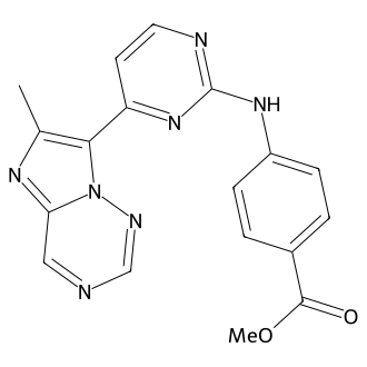 COC(=O)c1ccc(Nc2nccc(-c3c(C)nc4cncnn34)n2)cc1